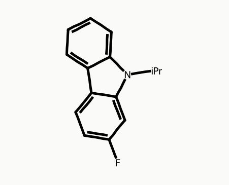 CC(C)n1c2ccccc2c2ccc(F)cc21